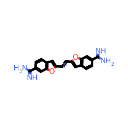 N=C(N)c1ccc2cc(/C=C/c3cc4ccc(C(=N)N)cc4o3)oc2c1